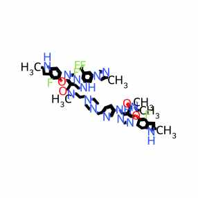 CCN(C)C(=O)c1c(Nc2ccc(CN3CCN(CCCN(C)C(=O)c4c(CNc5cc(-n6cnc(C)c6)cc(C(F)(F)F)c5)ncnc4Oc4ccc5c(c4F)CC(C)N5)CC3)nc2)ncnc1OC1=C(F)c2cc(C)[nH]c2CC1